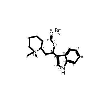 C[N+]1(C)CCCCC1CC(OC=O)c1c[nH]c2ccccc12.[Br-]